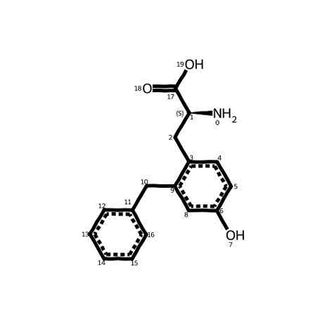 N[C@@H](Cc1ccc(O)cc1Cc1ccccc1)C(=O)O